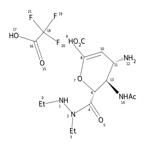 CCNN(CC)C(=O)[C@@H]1OC(C(=O)O)=C[C@H](N)[C@H]1NC(C)=O.O=C(O)C(F)(F)F